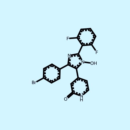 O=c1cc(-c2c(-c3ccc(Br)cc3)nc(-c3c(F)cccc3F)n2O)cc[nH]1